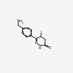 NCc1ccc(C2=NNC(=O)CC2I)cc1